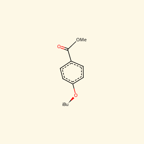 CC[C@H](C)Oc1ccc(C(=O)OC)cc1